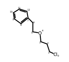 ClCCCOCCc1ccccc1